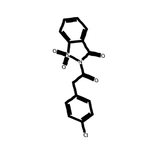 O=C(Cc1ccc(Cl)cc1)N1C(=O)c2ccccc2S1(=O)=O